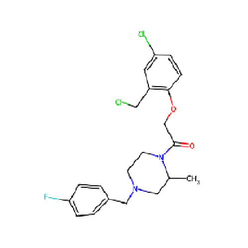 CC1CN(Cc2ccc(F)cc2)CCN1C(=O)COc1ccc(Cl)cc1CCl